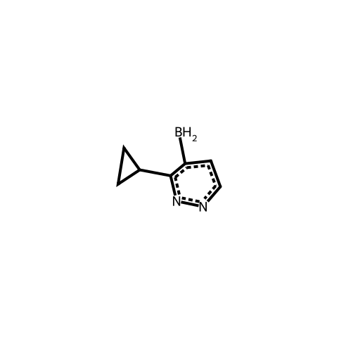 Bc1ccnnc1C1CC1